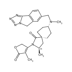 CC1=C(N2C(=O)[C@]3(CC[C@@H](N(C)Cc4ccc5c(c4)Cn4nnnc4-5)CC3)C[C@H]2C)COC1=O